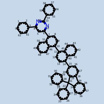 c1ccc(-c2cc(-c3ccc(-c4ccc(-c5ccc6c(c5)C(c5ccccc5)(c5ccccc5)c5ccccc5-6)c5ccccc45)c4ccccc34)nc(-c3ccccc3)n2)cc1